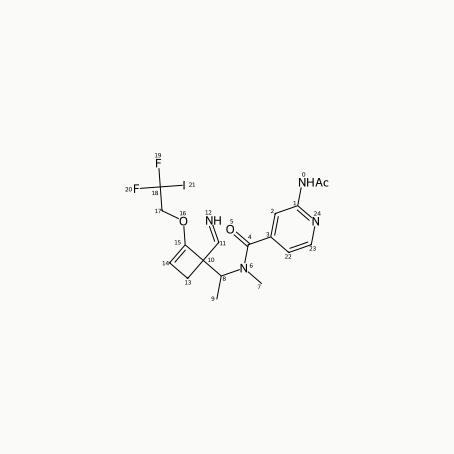 CC(=O)Nc1cc(C(=O)N(C)C(C)C2(C=N)CC=C2OCC(F)(F)I)ccn1